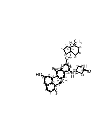 C#Cc1c(F)ccc2cc(O)cc(-c3ccc4c(N[C@H]5CNC(=O)C5)nc(OC[C@]56CCC[C@H]5N(C)CCC6)nc4c3F)c12